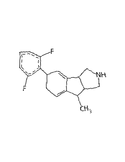 CC1C2=CCC(c3c(F)cccc3F)C=C2C2CNCC12